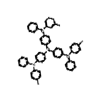 CC1=CC(N(c2ccccc2)c2ccc(N(c3ccc(N(c4ccccc4)c4ccc(C)cc4)cc3)c3ccc(N(c4ccccc4)c4ccc(C)cc4)cc3)cc2)=CCC1